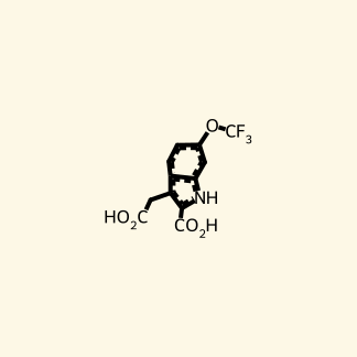 O=C(O)Cc1c(C(=O)O)[nH]c2cc(OC(F)(F)F)ccc12